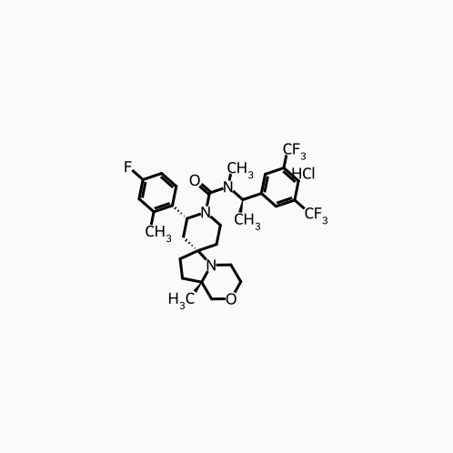 Cc1cc(F)ccc1[C@H]1C[C@@]2(CCN1C(=O)N(C)[C@H](C)c1cc(C(F)(F)F)cc(C(F)(F)F)c1)CC[C@@]1(C)COCCN12.Cl